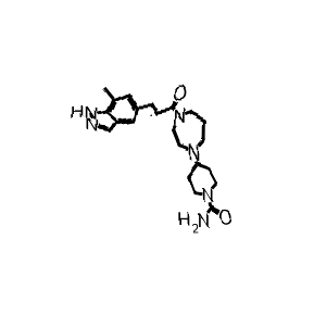 Cc1cc(C[CH]C(=O)N2CCCN(C3CCN(C(N)=O)CC3)CC2)cc2cn[nH]c12